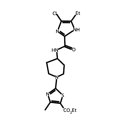 CCOC(=O)c1sc(N2CCC(NC(=O)c3nc(Cl)c(CC)[nH]3)CC2)nc1C